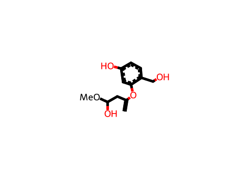 C=C(CC(O)OC)Oc1cc(O)ccc1CO